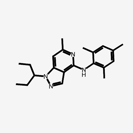 CCC(CC)n1ncc2c(Nc3c(C)cc(C)cc3C)nc(C)cc21